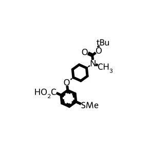 CSc1ccc(C(=O)O)c(O[C@H]2CC[C@@H](N(C)C(=O)OC(C)(C)C)CC2)c1